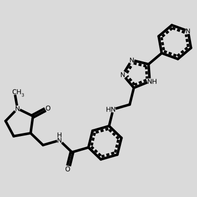 CN1CCC(CNC(=O)c2cccc(NCc3nnc(-c4ccncc4)[nH]3)c2)C1=O